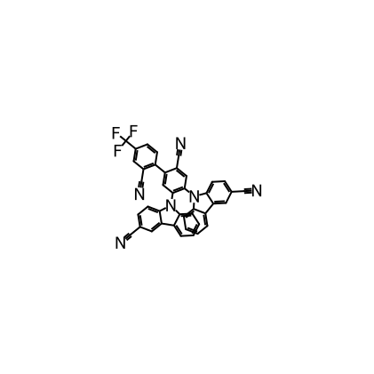 N#Cc1ccc2c(c1)c1ccccc1n2-c1cc(C#N)c(-c2ccc(C(F)(F)F)cc2C#N)cc1-n1c2ccccc2c2cc(C#N)ccc21